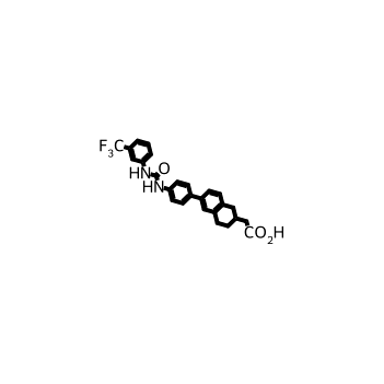 O=C(O)CC1CCc2cc(-c3ccc(NC(=O)Nc4cccc(C(F)(F)F)c4)cc3)ccc2C1